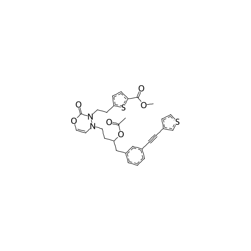 COC(=O)c1ccc(CCN2C(=O)OC=CN2CCC(Cc2cccc(C#Cc3ccsc3)c2)OC(C)=O)s1